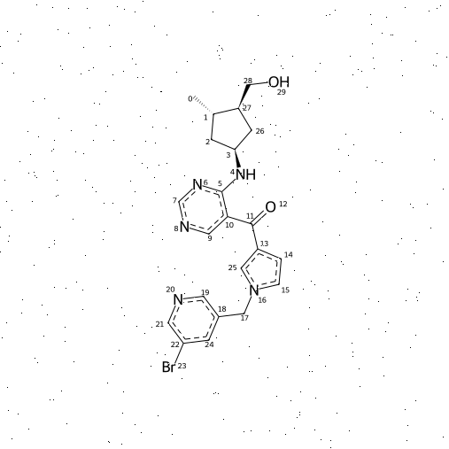 C[C@H]1C[C@H](Nc2ncncc2C(=O)c2ccn(Cc3cncc(Br)c3)c2)C[C@@H]1CO